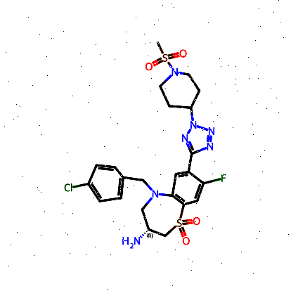 CS(=O)(=O)N1CCC(n2nnc(-c3cc4c(cc3F)S(=O)(=O)C[C@H](N)CN4Cc3ccc(Cl)cc3)n2)CC1